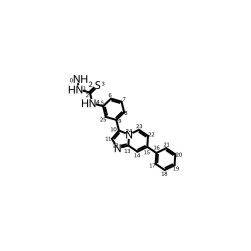 NNC(=S)Nc1cccc(-c2cnc3cc(-c4ccccc4)ccn23)c1